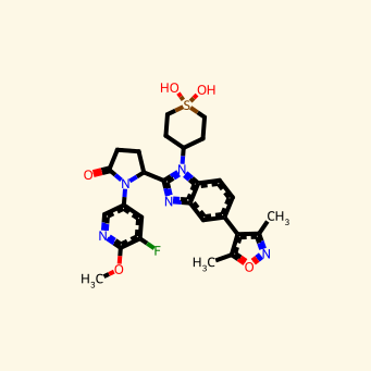 COc1ncc(N2C(=O)CCC2c2nc3cc(-c4c(C)noc4C)ccc3n2C2CCS(O)(O)CC2)cc1F